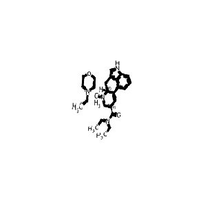 CCN(CC)C(=O)[C@@H]1C=C2c3cccc4[nH]cc(c34)C[C@H]2N(C)C1.CCN1CCOCC1